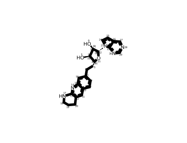 O[C@@H]1[C@H](O)[C@@H](CCc2ccc3cc4c(nc3c2)NCCC4)O[C@H]1n1ccc2cncnc21